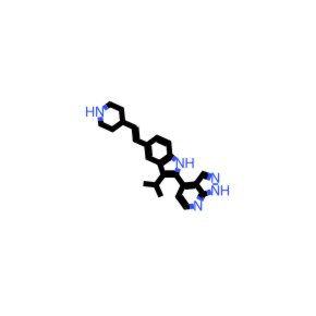 CC(C)c1c(-c2ccnc3[nH]ncc23)[nH]c2ccc(/C=C/C3CCNCC3)cc12